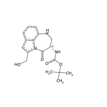 CC(C)(C)OC(=O)N[C@H]1CNc2cccc3cc(CO)n(c23)C1=O